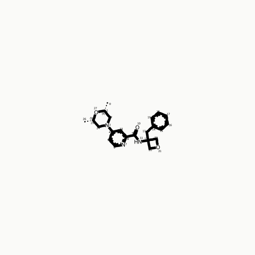 C[C@@H]1CN(c2ccnc(C(=O)NC3(Cc4ccccc4)COC3)c2)C[C@H](C)O1